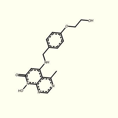 Cc1ncnc2c1c(NCc1ccc(OCCO)cc1)cc(=O)n2O